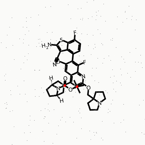 CC(C)(C)OC(=O)N1[C@H]2CC[C@H]1CN(c1nc(OCC34CCCN3CCC4)nc3c(F)c(-c4ccc(F)c5sc(N)c(C#N)c45)c(Cl)cc13)C2